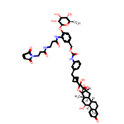 C[C@]12C=CC(=O)C=C1CC[C@@H]1[C@@H]2[C@@H](O)C[C@@]2(C)[C@H]1C[C@H]1O[C@@H](C34CC(Cc5cccc(NC(=O)OCc6ccc(O[C@@H]7O[C@H](C(=O)O)[C@@H](O)[C@H](O)[C@H]7O)c(NC(=O)CCNC(=O)CCN7C(=O)C=CC7=O)c6)c5)(C3)C4)O[C@]12C(=O)CO